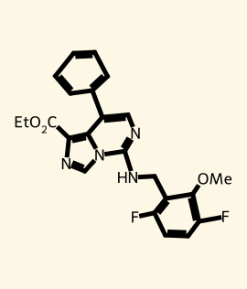 CCOC(=O)c1ncn2c(NCc3c(F)ccc(F)c3OC)ncc(-c3ccccc3)c12